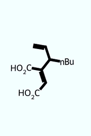 C=CC(CCCC)C(=CC(=O)O)C(=O)O